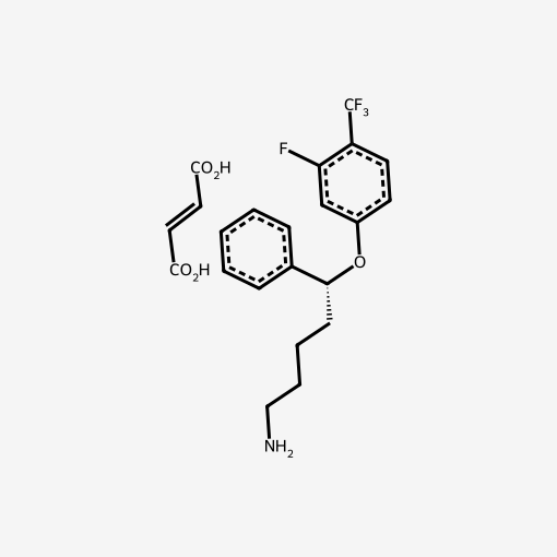 NCCCC[C@@H](Oc1ccc(C(F)(F)F)c(F)c1)c1ccccc1.O=C(O)C=CC(=O)O